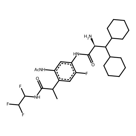 CC(=O)Nc1cc(NC(=O)[C@@H](N)C(C2CCCCC2)C2CCCCC2)c(F)cc1C(C)C(=O)NC(F)C(F)F